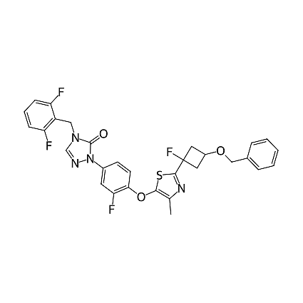 Cc1nc(C2(F)CC(OCc3ccccc3)C2)sc1Oc1ccc(-n2ncn(Cc3c(F)cccc3F)c2=O)cc1F